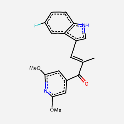 COc1cc(C(=O)/C(C)=C/c2c[nH]c3ccc(F)cc23)cc(OC)n1